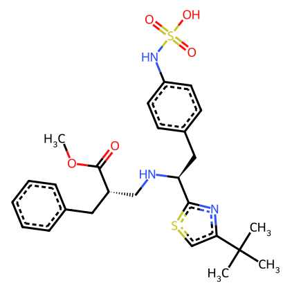 COC(=O)[C@H](CN[C@@H](Cc1ccc(NS(=O)(=O)O)cc1)c1nc(C(C)(C)C)cs1)Cc1ccccc1